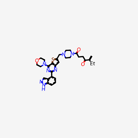 C=C(CC)C(=O)CCC(=O)N1CCN(Cc2cc3nc(-c4cccc5[nH]ncc45)nc(N4CCOCC4)c3s2)CC1